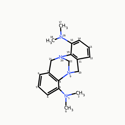 CN(C)c1cccc2c1N1Cc3cccc(N(C)C)c3N(C2)C1